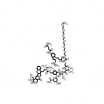 CC[C@@]1(O)C(=O)OCc2c1cc1n(c2=O)Cc2c-1nc1ccccc1c2CCN(C(=O)OCc1ccc(NC(=O)[C@H](C)NC(=O)C(NC(=O)CC[C@H](NC(=O)CCn2c(CNC)cc3cc(NC(=O)CCC(N)=O)ccc32)C(=O)NCCOCCOCCOCCOCCOCCOC)C(C)C)c(O[C@H]2C[C@@H](O)C[C@@H](C(=O)O)O2)c1)C(C)C